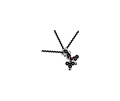 CCCCCCCCCCCCCCCCCCOc1cc(C(=O)C2(N)C=CN([C@H]3C[C@H](O[Si](c4ccccc4)(C(C)C)C(C)C)[C@@H](COC(c4ccccc4)(c4ccc(OC)cc4)c4ccc(OC)cc4)O3)C(=O)N2)cc(OCCCCCCCCCCCCCCCCCC)c1OCCCCCCCCCCCCCCCCCC